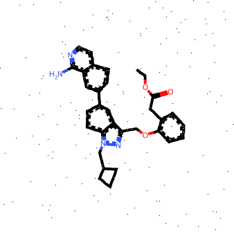 CCOC(=O)Cc1ccccc1OCc1nn(CC2CCC2)c2ccc(-c3ccc4ccnc(N)c4c3)cc12